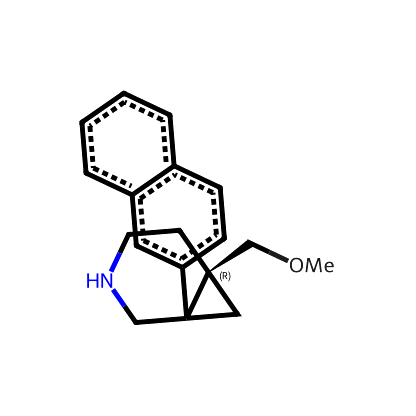 COC[C@]12CCNCC1(c1ccc3ccccc3c1)C2